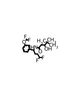 CC(C)(C)C(O)CC(=O)NC(CCC(F)F)c1cccc(OC(F)F)c1